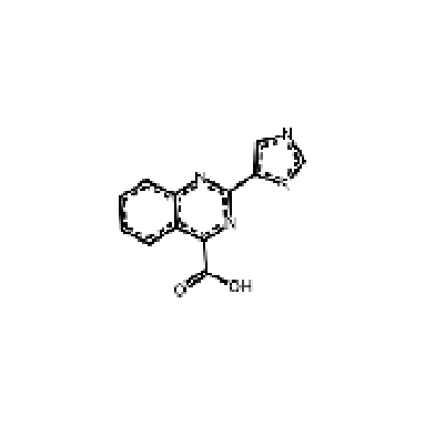 O=C(O)c1nc(-c2cncs2)nc2ccccc12